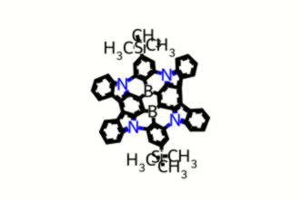 C[Si](C)(C)c1cc2c3c(c1)-n1c4ccccc4c4c5c6ccccc6n6c5c5c(c41)B3c1c3c4c(c7ccccc7n4-c4cc([Si](C)(C)C)cc-6c4B35)c3c4ccccc4n-2c13